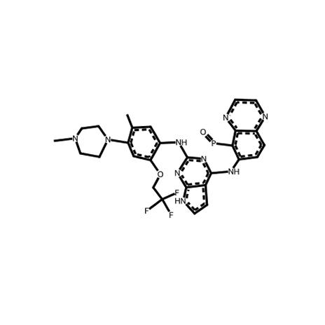 Cc1cc(Nc2nc(Nc3ccc4nccnc4c3P=O)c3cc[nH]c3n2)c(OCC(F)(F)F)cc1N1CCN(C)CC1